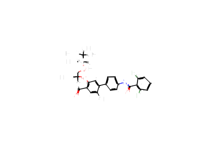 Cc1cc2c(cc1-c1ccc(NC(=O)c3c(F)cccc3F)cc1)OC(C)(CO[Si](C)(C)C(C)(C)C)CC2=O